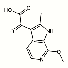 COc1nccc2c(C(=O)C(=O)O)c(C)[nH]c12